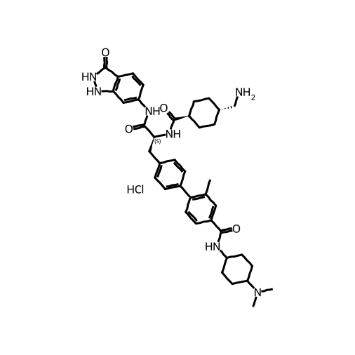 Cc1cc(C(=O)NC2CCC(N(C)C)CC2)ccc1-c1ccc(C[C@H](NC(=O)[C@H]2CC[C@H](CN)CC2)C(=O)Nc2ccc3c(=O)[nH][nH]c3c2)cc1.Cl